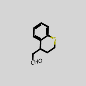 O=CCC1CCSc2ccccc21